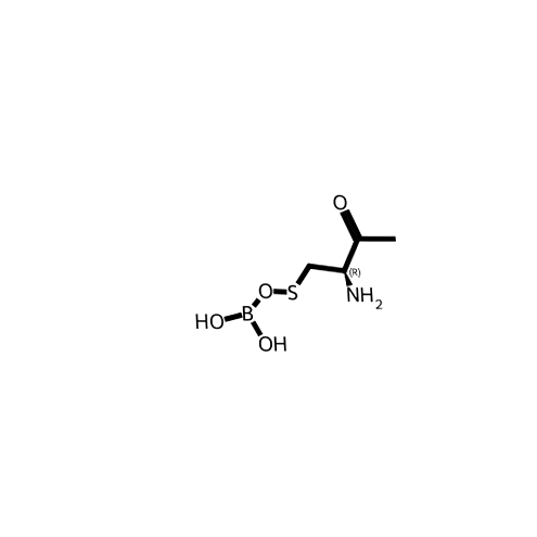 CC(=O)[C@@H](N)CSOB(O)O